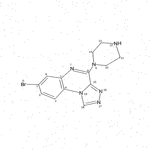 Brc1ccc2c(c1)nc(N1CCNCC1)c1nncn12